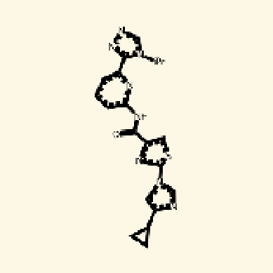 CC(C)n1cnnc1-c1cccc(NC(=O)c2csc(-n3cnc(C4CC4)c3)n2)n1